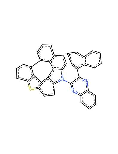 c1ccc2c(-c3nc4ccccc4nc3-n3c4ccc5cccc6c5c4c4c5c(ccc43)sc3cccc-6c35)cccc2c1